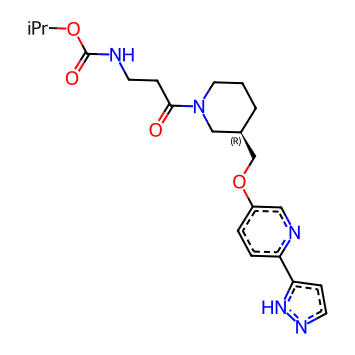 CC(C)OC(=O)NCCC(=O)N1CCC[C@@H](COc2ccc(-c3ccn[nH]3)nc2)C1